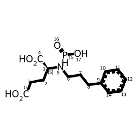 O=C(O)CC[C@@H](C(=O)O)N(CCCc1ccccc1)[PH](=O)O